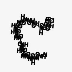 CCOc1ccc(NC(=O)CCCCC(=O)NCCC(=O)Nc2cc(C(=O)Nc3cc(C(=O)Nc4cc(C(=O)Nc5cc(C(=O)NCCCC(=O)Nc6cc(C(=O)Nc7cc(C(=O)Nc8cc(C(=O)Nc9cc(C(=O)NCCCN(C)C)n(C)c9)n(C)c8)n(C)c7)n(C)c6)n(C)c5)n(C)c4)n(C)c3)n(C)c2)cc1C(=O)Nc1ccc(Cl)c(C(F)(F)F)c1